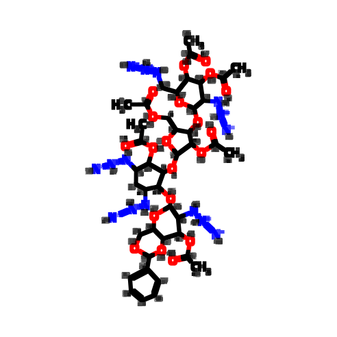 CC(=O)OCC1OC(OC2C(OC(C)=O)C(N=[N+]=[N-])CC(N=[N+]=[N-])C2OC2OC3COC(c4ccccc4)OC3C(OC(C)=O)C2N=[N+]=[N-])C(OC(C)=O)C1OC1OC(CN=[N+]=[N-])C(OC(C)=O)C(OC(C)=O)C1N=[N+]=[N-]